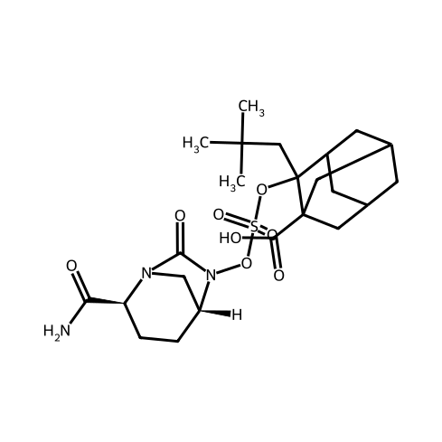 CC(C)(C)CC1(OS(=O)(=O)ON2C(=O)N3C[C@H]2CC[C@H]3C(N)=O)C2CC3CC(C2)CC1(C(=O)O)C3